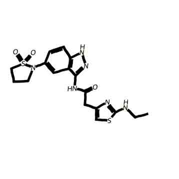 CCNc1nc(CC(=O)Nc2n[nH]c3ccc(N4CCCS4(=O)=O)cc23)cs1